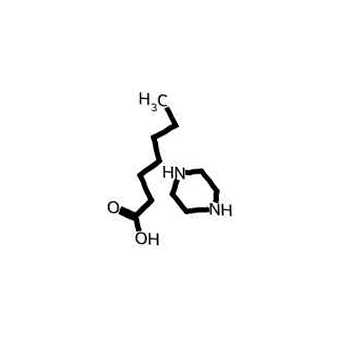 C1CNCCN1.CCCCCCC(=O)O